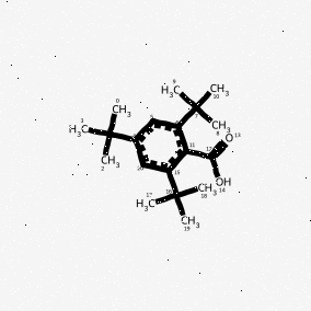 CC(C)(C)c1cc(C(C)(C)C)c(C(=O)O)c(C(C)(C)C)c1